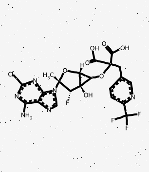 C[C@@]1(n2cnc3c(N)nc(Cl)nc32)O[C@@H]2C(OC(Cc3ccc(C(F)(F)F)nc3)(C(=O)O)C(=O)O)[C@]2(O)[C@@H]1F